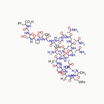 CSCC[C@H](NC(=O)CNC(=O)[C@H](CCC(N)=O)NC(=O)[C@H](CCC(N)=O)NC(=O)[C@H](CCC(N)=O)NC(=O)[C@H](CCC(N)=O)NC(=O)[C@H](CCC(N)=O)NC(=O)[C@H](CCC(N)=O)NC(=O)[C@H](C)NC(=O)[C@H](CC(C)C)NC(=O)[C@H](C)NC(=O)[C@H](C)NC(=O)[C@H](CCSC)NC(=O)[C@H](C)N)C(=O)NCC(=O)N[C@H](C(=O)N1CCC[C@H]1C(=O)N[C@@H](CO)C(=O)NCC(=O)N[C@@H](CC(C)C)C(=O)O)[C@@H](C)O